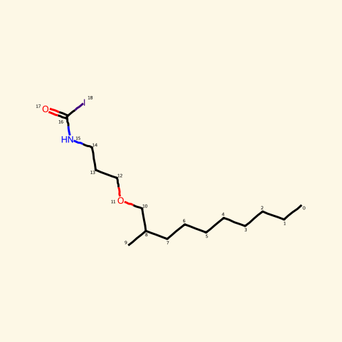 CCCCCCCCC(C)COCCCNC(=O)I